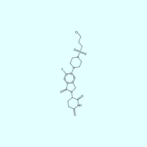 O=C1CCC(N2Cc3cc(N4CCN(S(=O)(=O)CCCCl)CC4)c(F)cc3C2=O)C(=O)N1